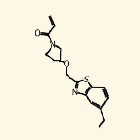 C=CC(=O)N1CC[C@H](OCc2nc3cc(CC)ccc3s2)C1